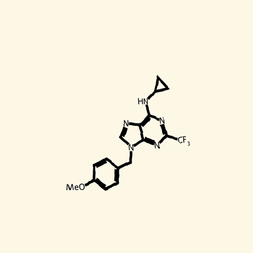 COc1ccc(Cn2cnc3c(NC4CC4)nc(C(F)(F)F)nc32)cc1